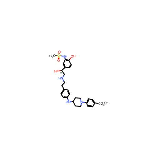 CCOC(=O)c1ccc(N2CCC(Nc3ccc(CCNC[C@@H](O)c4ccc(O)c(NS(C)(=O)=O)c4)cc3)CC2)cc1